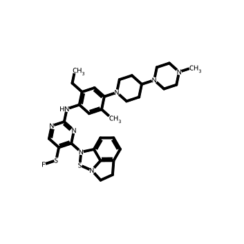 CCc1cc(N2CCC(N3CCN(C)CC3)CC2)c(C)cc1Nc1ncc(SF)c(N2SN3CCc4cccc2c43)n1